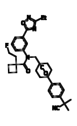 CCc1noc(-c2cccc(N(CC34CCC(c5ccc(C(C)(C)C#N)cc5)(CC3)OC4)C(=O)C3(CCF)CCC3)c2)n1